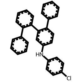 Clc1ccc(Nc2ccc(-c3ccccc3)c(-c3ccccc3-c3ccccc3)c2)cc1